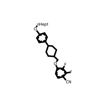 CCCCCCCOc1ccc(C2CCC(COc3ccc(C#N)c(F)c3F)CC2)cc1